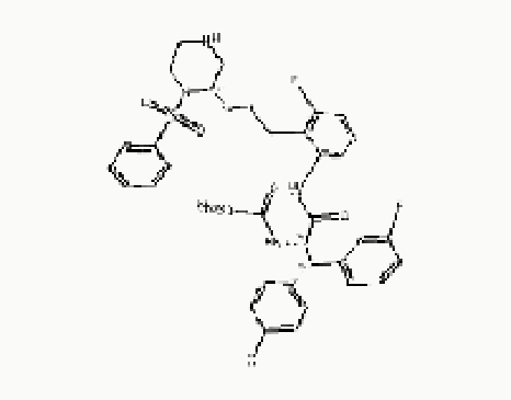 COC(=O)N[C@H](C(=O)Nc1cncc(F)c1CCC[C@H]1CNCCN1S(=O)(=O)c1ccccc1)[C@@H](c1ccc(Cl)cc1)c1cccc(F)c1